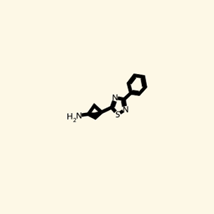 NC12CC(c3nc(-c4ccccc4)ns3)(C1)C2